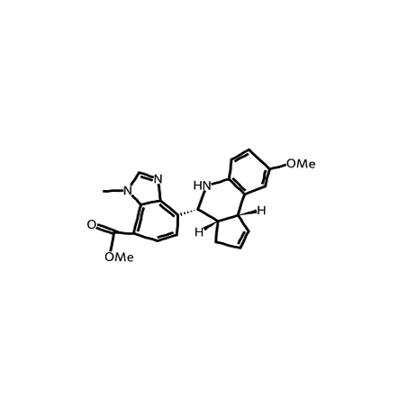 COC(=O)c1ccc([C@@H]2Nc3ccc(OC)cc3[C@@H]3C=CC[C@@H]32)c2ncn(C)c12